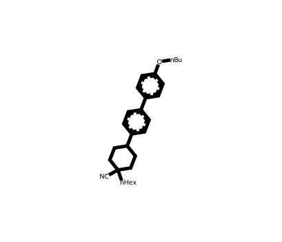 CCCCCCC1(C#N)CCC(c2ccc(-c3ccc(OCCCC)cc3)cc2)CC1